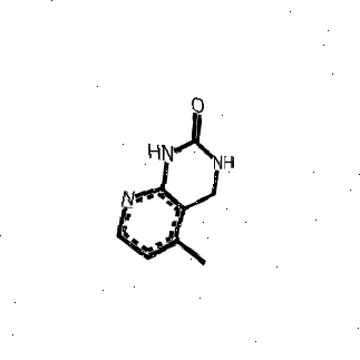 Cc1ccnc2c1CNC(=O)N2